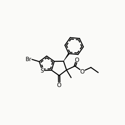 CCOC(=O)C1(C)C(=O)c2sc(Br)cc2[C@H]1c1ccccc1